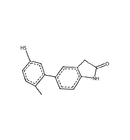 Cc1ccc(S)cc1-c1ccc2c(c1)CC(=O)N2